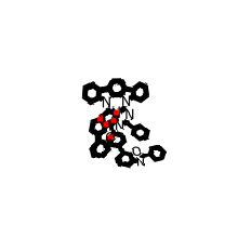 c1ccc(-c2nc(-c3cccc4c3oc3ccccc34)nc(-n3c4ccccc4c4ccc5c6ccccc6n(-c6ccc(-c7ccc(-c8cccc9nc(-c%10ccccc%10)oc89)cc7)cc6)c5c43)n2)cc1